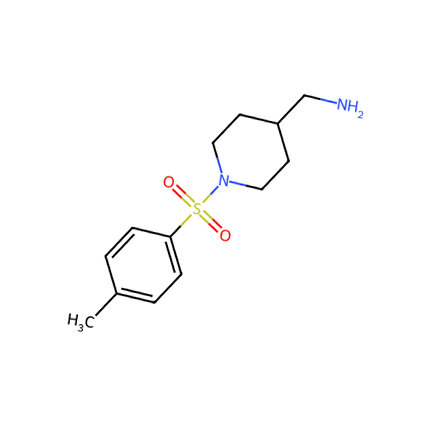 Cc1ccc(S(=O)(=O)N2CCC(CN)CC2)cc1